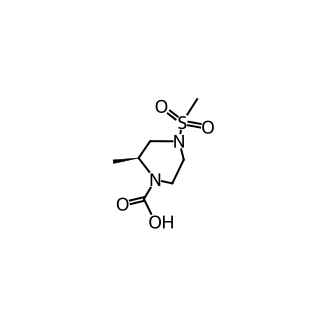 C[C@H]1CN(S(C)(=O)=O)CCN1C(=O)O